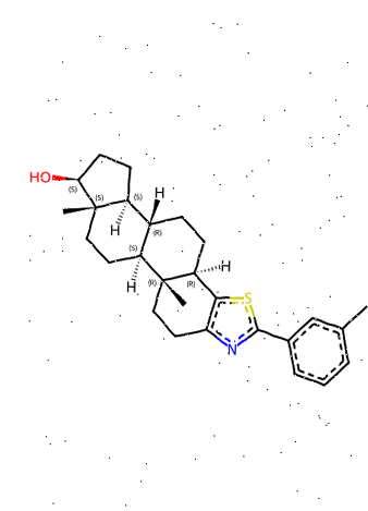 Cc1cccc(-c2nc3c(s2)[C@@H]2CC[C@@H]4[C@H](CC[C@]5(C)[C@@H](O)CC[C@@H]45)[C@@]2(C)CC3)c1